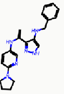 C=C(Nc1ccc(N2CCCC2)nc1)c1n[nH]cc1NCc1ccccc1